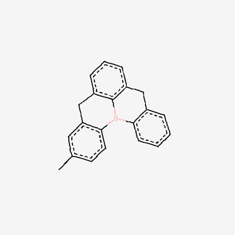 Cc1ccc2c(c1)Cc1cccc3c1B2c1ccccc1C3